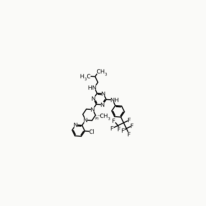 CC(C)CNc1nc(Nc2ccc(C(F)(C(F)(F)F)C(F)(F)F)cc2)nc(N2CCN(c3ncccc3Cl)C[C@H]2C)n1